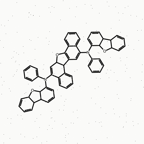 C1=CC2OC3C(N(C4=CC5Oc6c(cc(N(C7=CC=CC8C7OC7C=CC=CC78)c7ccccc7)c7ccccc67)C5c5ccccc54)c4ccccc4)=CC=CC3C2C=C1